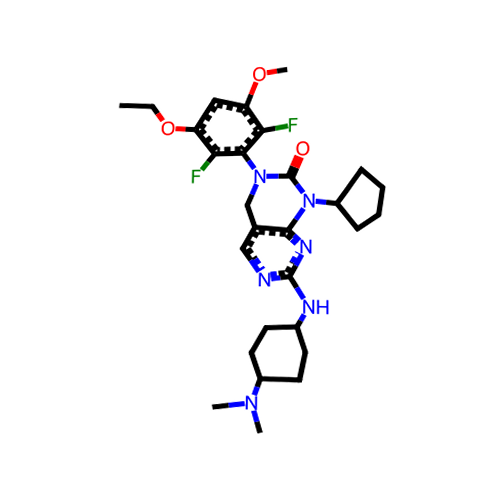 CCOc1cc(OC)c(F)c(N2Cc3cnc(NC4CCC(N(C)C)CC4)nc3N(C3CCCC3)C2=O)c1F